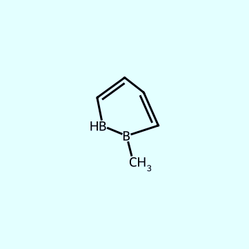 CB1BC=CC=C1